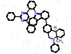 CC12C=CC=C[C@@H]1c1cc(-c3cccc4c3c3ccccc3n4-c3ccccc3-c3cc(-c4ccccc4)nc(-c4ccccc4)n3)ccc1CN2c1ccccc1